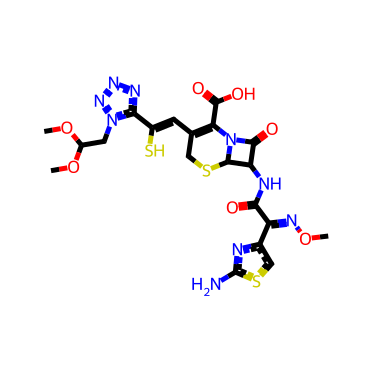 CON=C(C(=O)NC1C(=O)N2C(C(=O)O)=C(C=C(S)c3nnnn3CC(OC)OC)CSC12)c1csc(N)n1